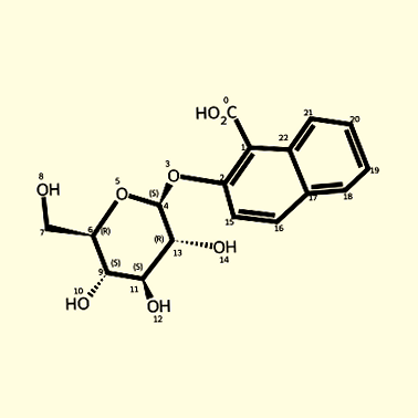 O=C(O)c1c(O[C@@H]2O[C@H](CO)[C@@H](O)[C@H](O)[C@H]2O)ccc2ccccc12